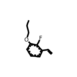 C=Cc1cccc(OCCC)c1F